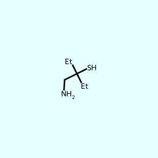 CCC(S)(CC)CN